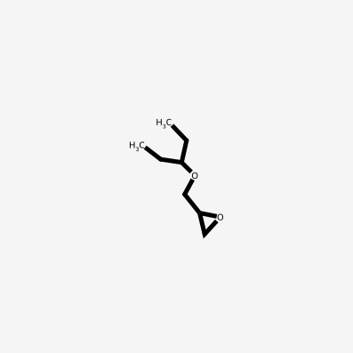 CCC(CC)OCC1CO1